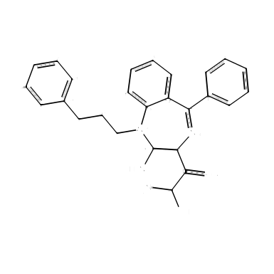 CC(N)C(=O)C1N=C(c2ccccc2)c2ccccc2N(CCCc2ccccc2)C1N